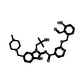 CN1CCN(Cc2ccc3[nH]/c(=N\C(=O)c4ccnc(OCc5cccc(O)c5C=O)c4)n(CC(C)(C)O)c3c2)CC1